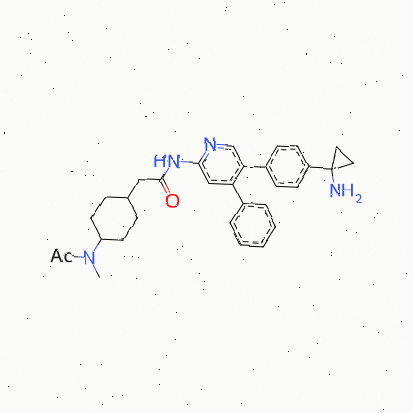 CC(=O)N(C)C1CCC(CC(=O)Nc2cc(-c3ccccc3)c(-c3ccc(C4(N)CC4)cc3)cn2)CC1